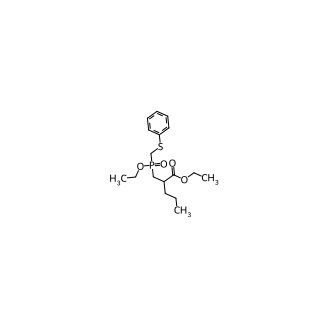 CCCC(CP(=O)(CSc1ccccc1)OCC)C(=O)OCC